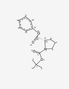 CC(C)(C)OC(=O)N1CCC[C@H]1C(=O)Oc1ccccc1